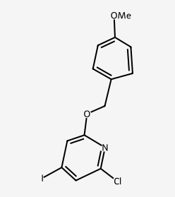 COc1ccc(COc2cc(I)cc(Cl)n2)cc1